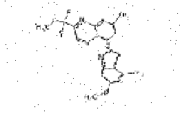 COc1cc(C)c2c(c1)=N[SH](c1cc(C)cc3nc(C(F)(F)OC)cnc13)N=2